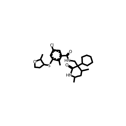 Cc1c(SC2CCOC2C)cc(Cl)cc1C(=O)NCC1(C2CCCCC2)C(=O)NC(C)CC1C